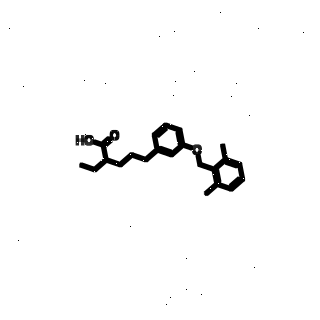 CCC(CCCc1cccc(OCc2c(C)cccc2C)c1)C(=O)O